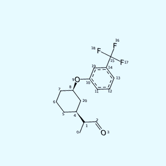 CC(C=O)[C@H]1CCC[C@@H](Oc2cccc(C(F)(F)F)c2)C1